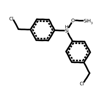 [SiH3]O[SiH](c1ccc(CCl)cc1)c1ccc(CCl)cc1